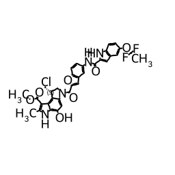 COC(=O)c1c(C)[nH]c2c(O)cc3c(c12)[C@H](CCl)CN3C(=O)c1cc2cc(NC(=O)c3cc4cc(OC(C)(F)F)ccc4[nH]3)ccc2o1